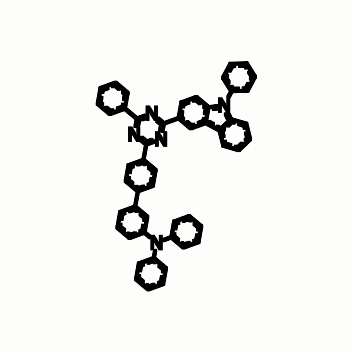 c1ccc(-c2nc(-c3ccc(-c4cccc(N(c5ccccc5)c5ccccc5)c4)cc3)nc(-c3ccc4c(c3)c3ccccc3n4-c3ccccc3)n2)cc1